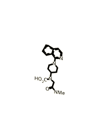 CNC(=O)CN(C(=O)O)C1CCN(c2nccc3ccccc23)CC1